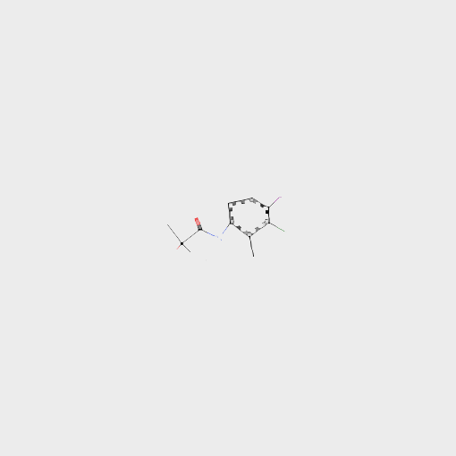 Cc1c(NC(=O)C(C)(O)C(F)(F)F)ccc(I)c1Cl